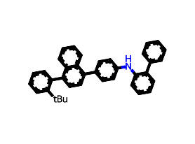 CC(C)(C)c1ccccc1-c1ccc(-c2ccc(Nc3ccccc3-c3ccccc3)cc2)c2ccccc12